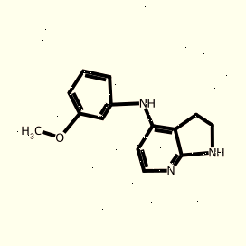 COc1cccc(Nc2ccnc3c2CCN3)c1